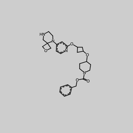 O=C(OCc1ccccc1)N1CCC(OC2CC(Oc3cc(N4CCNCC45COC5)ccn3)C2)CC1